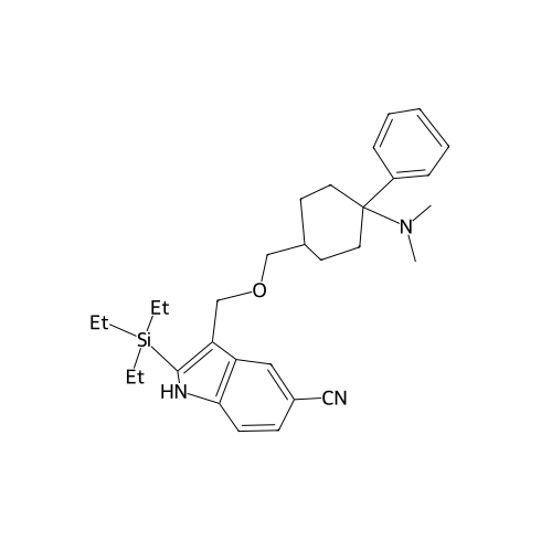 CC[Si](CC)(CC)c1[nH]c2ccc(C#N)cc2c1COCC1CCC(c2ccccc2)(N(C)C)CC1